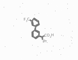 CC(C)C(C(=O)O)c1cccc(-c2cccc(C(F)(F)F)c2)c1